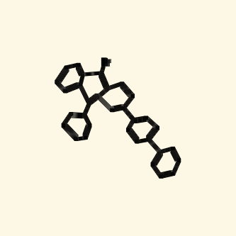 Brc1c2ccccc2c(-c2ccccc2)c2cc(-c3ccc(-c4ccccc4)cc3)ccc12